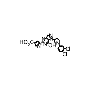 O=C(O)c1cnn(-c2nc(O)c3c(cnn3[C@H]3CCN(c4ccc(Cl)c(Cl)c4)C3)n2)c1